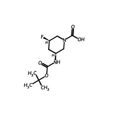 CC(C)(C)OC(=O)N[C@H]1C[C@@H](F)CN(C(=O)O)C1